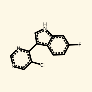 Fc1ccc2c(-c3ncncc3Cl)c[nH]c2c1